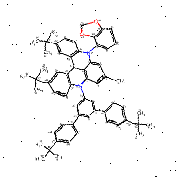 Cc1cc2c3c(c1)N(c1cccc4c1OCO4)c1ccc(C(C)(C)C)cc1B3c1cc(C(C)(C)C)ccc1N2c1cc(-c2ccc(C(C)(C)C)cc2)cc(-c2ccc(C(C)(C)C)cc2)c1